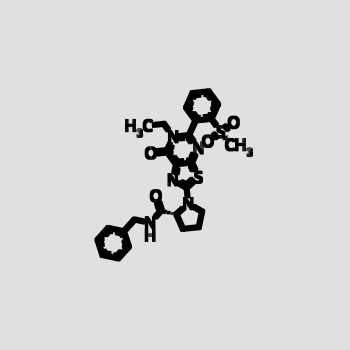 CCn1c(-c2ccccc2S(C)(=O)=O)nc2sc(N3CCC[C@@H]3C(=O)NCc3ccccc3)nc2c1=O